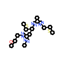 c1ccc(-c2ncc3c4ccc(-c5ccc(-c6ncc7c8ccccc8c8cnc(-c9cccc(-c%10cccc%11c%10sc%10ccccc%10%11)c9)nc8c7n6)cc5-c5cccc6c5sc5ccccc56)cc4c4cnc(-c5cccc(-c6ccc7c(c6)oc6ccccc67)c5)nc4c3n2)cc1